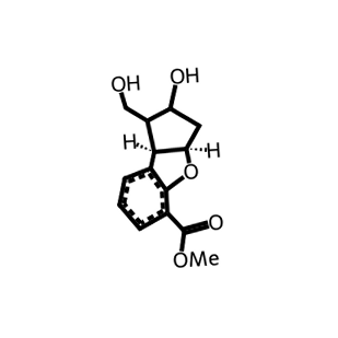 COC(=O)c1cccc2c1O[C@@H]1CC(O)C(CO)[C@H]21